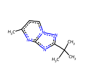 Cc1ccn2nc(C(C)(C)C)nc2n1